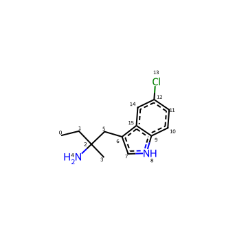 CCC(C)(N)Cc1c[nH]c2ccc(Cl)cc12